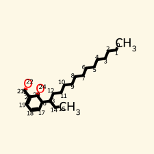 CCCCCCCCCCCCCC(CC)C1C=CC=C([C]=O)C1=O